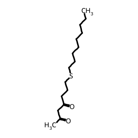 CCCCCCCCCSCCCC(=O)CC(C)=O